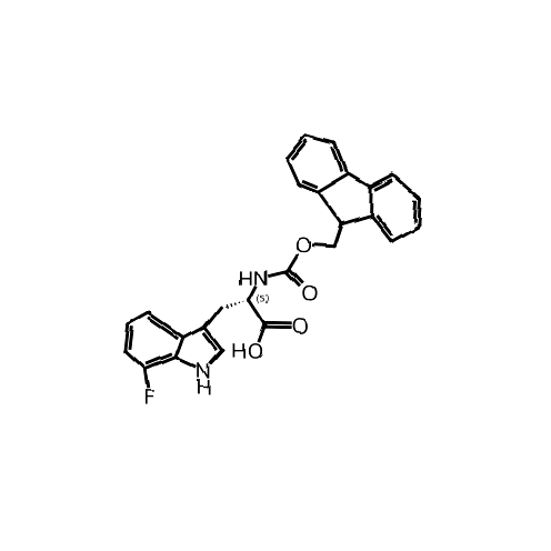 O=C(N[C@@H](Cc1c[nH]c2c(F)cccc12)C(=O)O)OCC1c2ccccc2-c2ccccc21